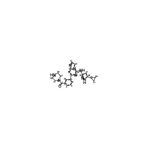 O=C(c1cccc(-c2cc3nccn3c(Nc3cc(C4CC4)[nH]n3)n2)c1)N1CCNCC1